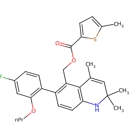 CCCOc1cc(F)ccc1-c1ccc2c(c1COC(=O)c1ccc(C)s1)C(C)=CC(C)(C)N2